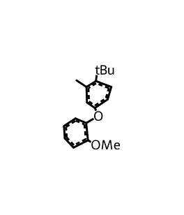 COc1ccccc1Oc1ccc(C(C)(C)C)c(C)c1